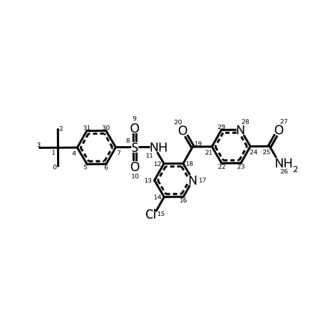 CC(C)(C)c1ccc(S(=O)(=O)Nc2cc(Cl)cnc2C(=O)c2ccc(C(N)=O)nc2)cc1